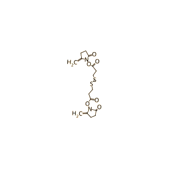 C=C1CCC(=O)N1OC(=O)CCSSCCC(=O)ON1C(=C)CCC1=O